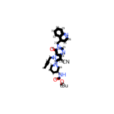 CC#CCn1c(N2CCC[C@@H](NC(=O)OC(C)(C)C)C2)c(C#N)c2ncn(Cc3ccnc4ccccc34)c(=O)c21